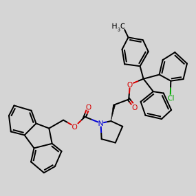 Cc1ccc(C(OC(=O)C[C@H]2CCCN2C(=O)OCC2c3ccccc3-c3ccccc32)(c2ccccc2)c2ccccc2Cl)cc1